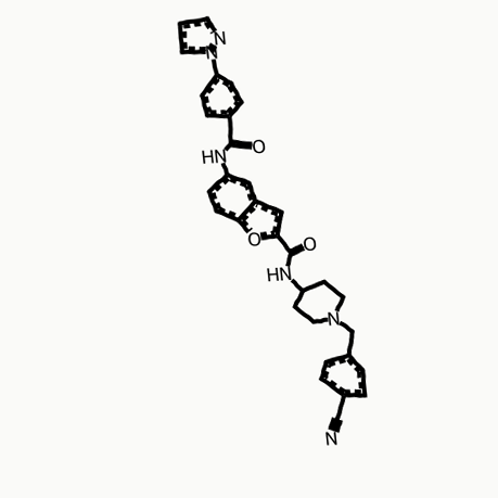 N#Cc1ccc(CN2CCC(NC(=O)c3cc4cc(NC(=O)c5ccc(-n6cccn6)cc5)ccc4o3)CC2)cc1